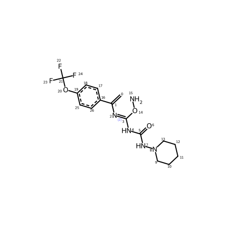 C=C(/N=C(/NC(=O)NN1CCCCC1)ON)c1ccc(OC(F)(F)F)cc1